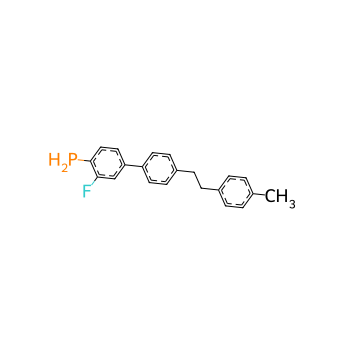 Cc1ccc(CCc2ccc(-c3ccc(P)c(F)c3)cc2)cc1